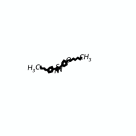 CCCCCCOc1ccc(-c2nnc(-c3ccc(CCCCC)cc3)s2)cc1